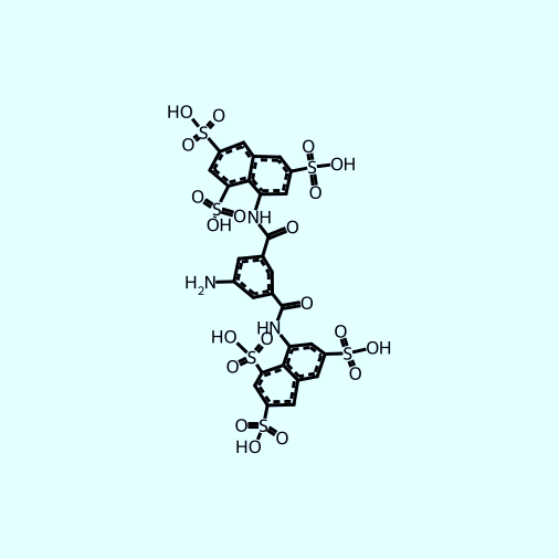 Nc1cc(C(=O)Nc2cc(S(=O)(=O)O)cc3cc(S(=O)(=O)O)cc(S(=O)(=O)O)c23)cc(C(=O)Nc2cc(S(=O)(=O)O)cc3cc(S(=O)(=O)O)cc(S(=O)(=O)O)c23)c1